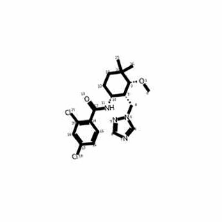 CO[C@@H]1[C@H](Cn2cncn2)[C@H](NC(=O)c2ccc(Cl)cc2Cl)CCC1(C)C